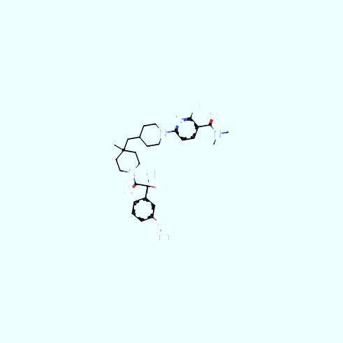 CC(C)Oc1cccc([C@@](O)(C(=O)N2CCC(C)(CC3CCN(c4ccc(C(=O)N(C)C)c(Cl)n4)CC3)CC2)C(F)(F)F)c1